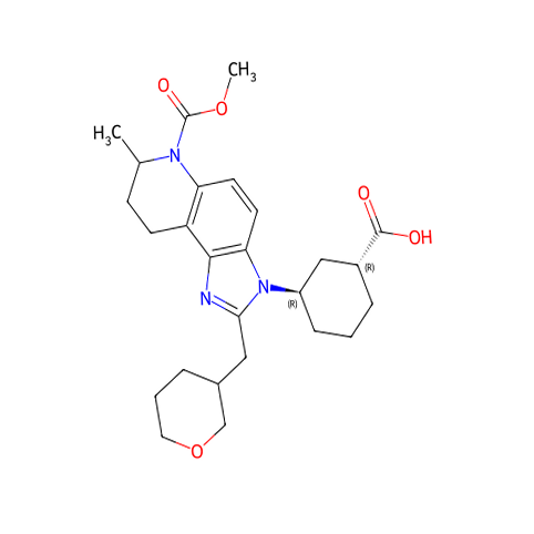 COC(=O)N1c2ccc3c(nc(CC4CCCOC4)n3[C@@H]3CCC[C@@H](C(=O)O)C3)c2CCC1C